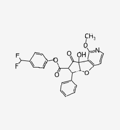 COc1nccc2c1C1(O)C(=O)C(C(=O)Oc3ccc(C(F)F)cc3)C(c3ccccc3)C1O2